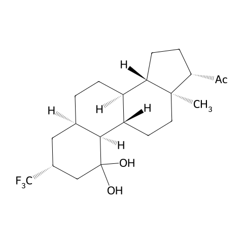 CC(=O)[C@H]1CC[C@H]2[C@@H]3CC[C@@H]4C[C@@H](C(F)(F)F)CC(O)(O)[C@@H]4[C@H]3CC[C@]12C